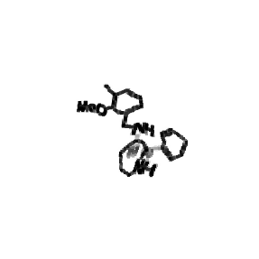 COc1c(C)cccc1CN[C@H]1CCCN[C@H]1c1ccccc1